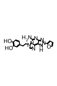 NC1=NC2=NN(c3ccco3)NC2=C2N=CN(CCc3ccc(O)c(O)c3)N12